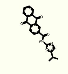 CC(C)c1cnc(NC(=O)c2ccc3c(c2)C(=O)c2ccccc2C3=O)s1